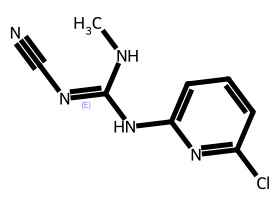 CN/C(=N\C#N)Nc1cccc(Cl)n1